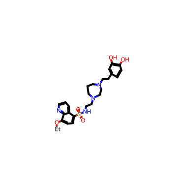 CCOc1ccc(S(=O)(=O)NCCN2CCCN(CCc3ccc(O)c(O)c3)CC2)c2cccnc12